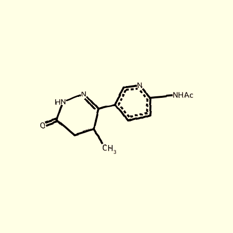 CC(=O)Nc1ccc(C2=NNC(=O)CC2C)cn1